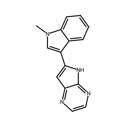 Cn1cc(-c2cc3nccnc3[nH]2)c2c[c]ccc21